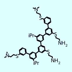 CC(C)c1cc(-c2cccc(SCCN(C)C)c2)cc(-c2cc(SCCN)cc(-c3cc(-c4cc(SCCN)cc(-c5cccc(SCCN(C)C)c5)c4)cc(C(C)C)c3)c2)c1